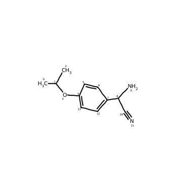 CC(C)Oc1ccc(C(N)C#N)cc1